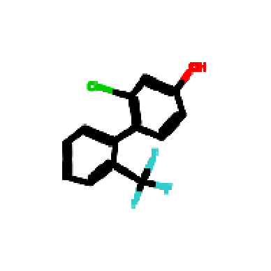 Oc1ccc(-c2ccccc2C(F)(F)F)c(Cl)c1